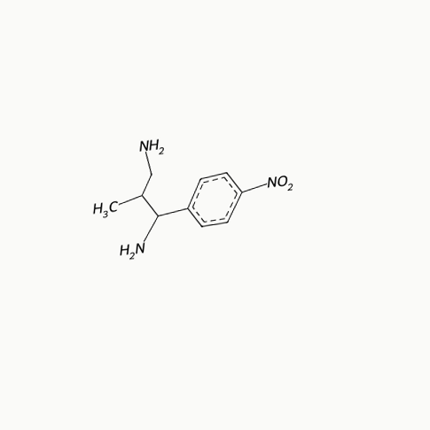 CC(CN)C(N)c1ccc([N+](=O)[O-])cc1